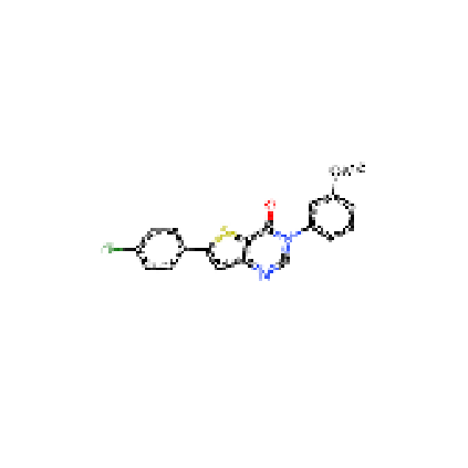 COc1cccc(-n2cnc3cc(-c4ccc(Cl)cc4)sc3c2=O)c1